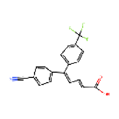 N#Cc1ccc(C(=CC=CC(=O)O)c2ccc(C(F)(F)F)cc2)cc1